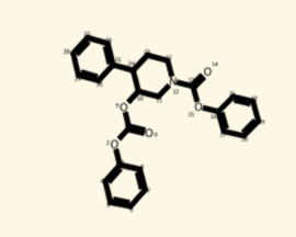 O=C(Oc1ccccc1)OC1CN(C(=O)Oc2ccccc2)CCC1c1ccccc1